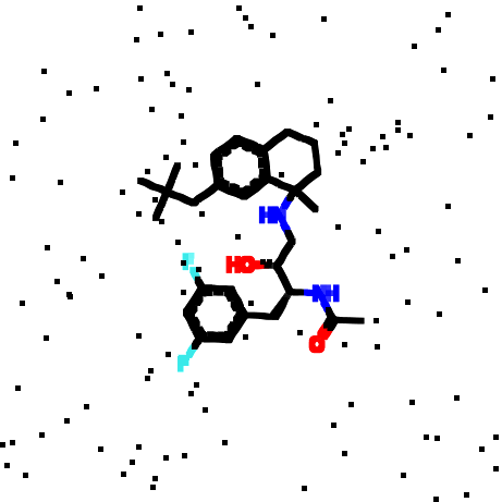 CC(=O)N[C@@H](Cc1cc(F)cc(F)c1)[C@@H](O)CNC1(C)CCCc2ccc(CC(C)(C)C)cc21